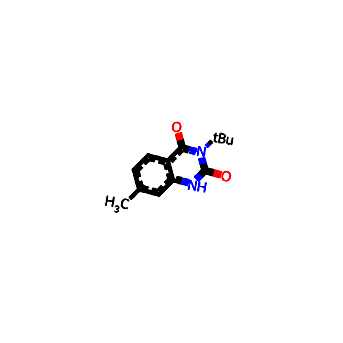 Cc1ccc2c(=O)n(C(C)(C)C)c(=O)[nH]c2c1